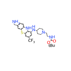 CC(C)(C)OC(=O)NCCN1CCC(Nc2cc(C(F)(F)F)cc3c2Nc2ccc(CN)cc2S3)CC1